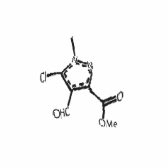 COC(=O)c1nn(C)c(Cl)c1C=O